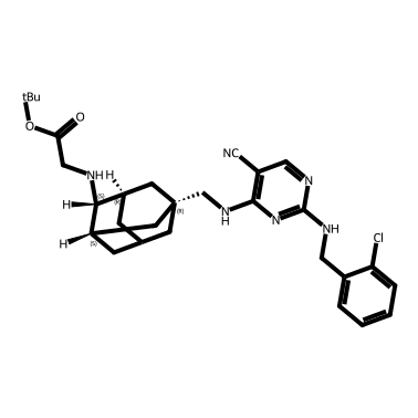 CC(C)(C)OC(=O)CN[C@@H]1[C@@H]2CC3C[C@H]1C[C@](CNc1nc(NCc4ccccc4Cl)ncc1C#N)(C3)C2